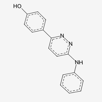 Oc1ccc(-c2ccc(Nc3ccccc3)nn2)cc1